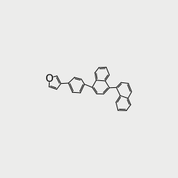 c1ccc2c(-c3ccc(-c4ccc(-c5ccoc5)cc4)c4ccccc34)cccc2c1